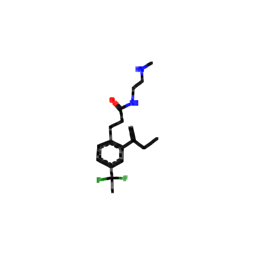 C=C(CC)c1cc(C(C)(F)F)ccc1CCC(=O)NCCNC